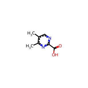 Cc1cnc(C(=O)O)nc1C